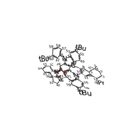 CC(C)C1CCC(C)(C)c2cc3c(cc21)N(c1ccc(C(C)(C)C)cc1-c1ccccc1)c1cc(N2c4ccccc4C4(C)CCCC24C)cc2c1B3c1ccc(C(C)(C)C)cc1N2c1cccc(C(C)(C)C)c1